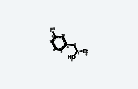 CC[C@H](O)Cc1cccc(F)c1